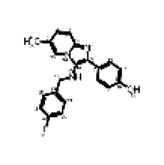 Cc1ccc2nc(-c3ccc(O)cc3)c(NCc3ccc(F)cc3)n2c1